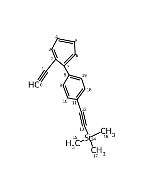 C#Cc1ccccc1-c1ccc(C#C[Si](C)(C)C)cc1